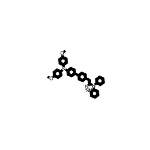 COc1ccc(N(c2ccc(OC)cc2)c2ccc(-c3ccc(C=C(N=N)N(c4ccccc4)c4ccccc4)cc3)cc2)cc1